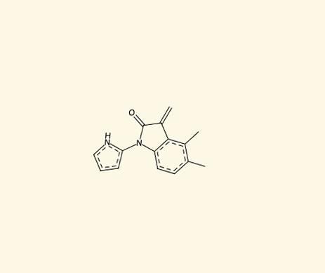 C=C1C(=O)N(c2ccc[nH]2)c2ccc(C)c(C)c21